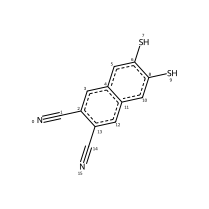 N#Cc1cc2cc(S)c(S)cc2cc1C#N